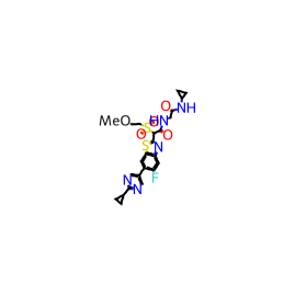 COCCS(=O)(=O)C(C(=O)NCC(=O)NC1CC1)c1nc2cc(F)c(-c3cnc(C4CC4)nc3)cc2s1